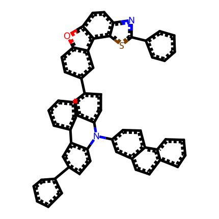 c1ccc(-c2ccc(N(c3ccc(-c4ccc5oc6ccc7nc(-c8ccccc8)sc7c6c5c4)cc3)c3ccc4c(ccc5ccccc54)c3)c(-c3ccccc3)c2)cc1